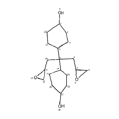 OC1CCC(C(CC2CO2)(CC2CO2)C2CCC(O)CC2)CC1